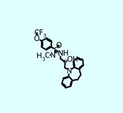 CN=[S@](=O)(NC[C@@H](O)CN1c2ccccc2CCc2ccccc21)c1ccc(OC(F)(F)F)cc1